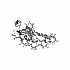 CCCCOCC1N(c2ccccc2)C(c2ccccc2)C23C4=c5ccc6c7ccc8c9ccc%10c%11ccc%12c%13c(c%14c%15c2c5c6c2c7c8c5c9c%10c(c%13%11)c%14c5c%152)C13C=%12C=C4